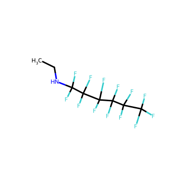 CCNC(F)(F)C(F)(F)C(F)(F)C(F)(F)C(F)(F)C(F)(F)F